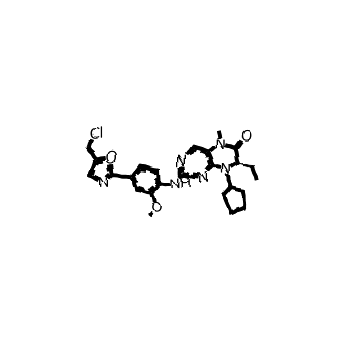 CC[C@@H]1C(=O)N(C)c2cnc(Nc3ccc(-c4ncc(CCl)o4)cc3OC)nc2N1C1CCCC1